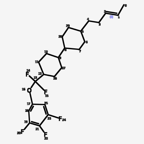 C/C=C/CCC1CCC(C2CCC(C(F)(F)Oc3cc(F)c(F)c(F)c3)CC2)CC1